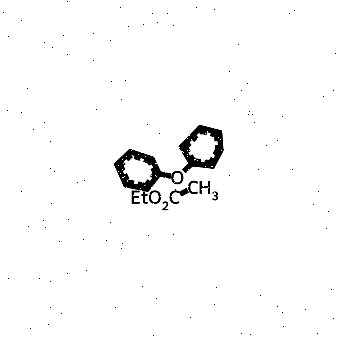 CCOC(C)=O.c1ccc(Oc2ccccc2)cc1